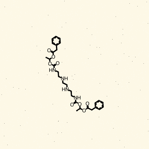 CC(OC(=O)Cc1ccccc1)OC(=O)NCCNCCNCCNC(=O)OC(C)OC(=O)Cc1ccccc1